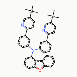 C[Si](C)(C)c1ccc(-c2cccc(N(c3cccc(-c4ccc([Si](C)(C)C)cn4)c3)c3cccc4oc5ccccc5c34)c2)nc1